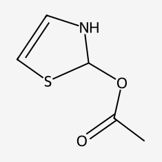 CC(=O)OC1NC=CS1